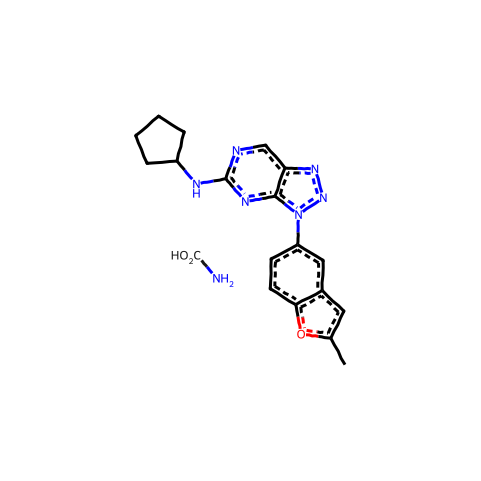 Cc1cc2cc(-n3nnc4cnc(NC5CCCC5)nc43)ccc2o1.NC(=O)O